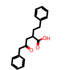 O=C(Cc1ccccc1)CC(CCc1ccccc1)C(=O)O